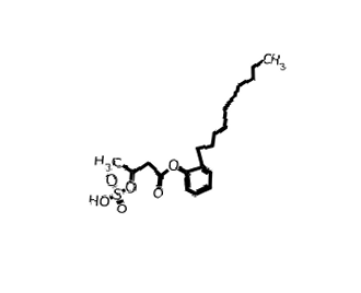 CCCCCCCCCCc1ccccc1OC(=O)CC(C)OS(=O)(=O)O